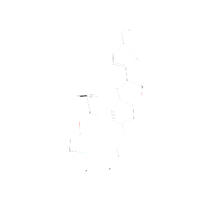 C=C(C)C(=O)OCCC(F)(F)OC(F)(F)OC(F)(F)CCSc1ccc2cc(-c3ccc(OC)cc3C)c(=O)oc2c1